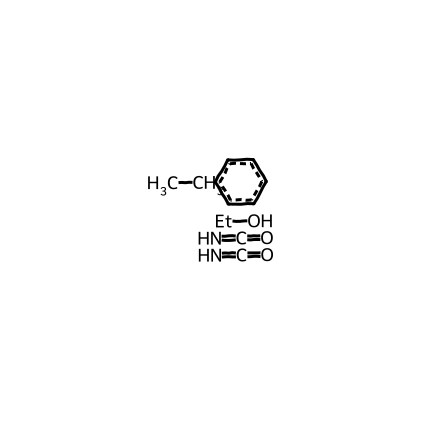 CC.CCO.N=C=O.N=C=O.c1ccccc1